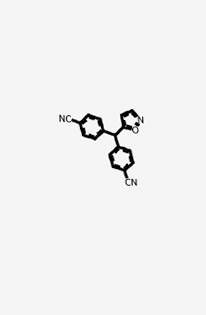 N#Cc1ccc(C(c2ccc(C#N)cc2)c2ccno2)cc1